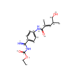 CCOC(=O)NC(=N)c1ccc(NC(=O)/C(C)=C/C(C)CO)cc1